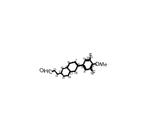 COc1c(F)cc(C2CCC3CC(CCC=O)CCC3C2)cc1F